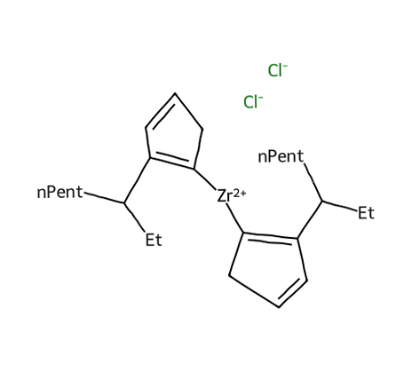 CCCCCC(CC)C1=[C]([Zr+2][C]2=C(C(CC)CCCCC)C=CC2)CC=C1.[Cl-].[Cl-]